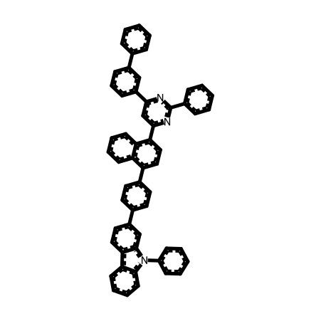 c1ccc(-c2cccc(-c3cc(-c4ccc(-c5ccc(-c6ccc7c8ccccc8n(-c8ccccc8)c7c6)cc5)c5ccccc45)nc(-c4ccccc4)n3)c2)cc1